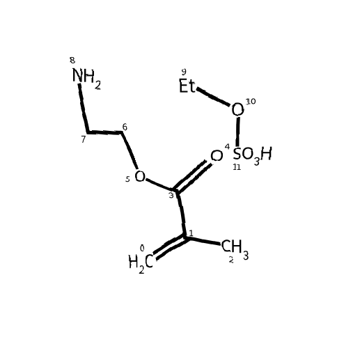 C=C(C)C(=O)OCCN.CCOS(=O)(=O)O